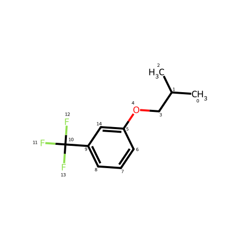 CC(C)COc1cccc(C(F)(F)F)c1